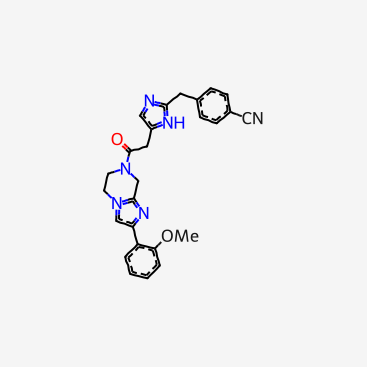 COc1ccccc1-c1cn2c(n1)CN(C(=O)Cc1cnc(Cc3ccc(C#N)cc3)[nH]1)CC2